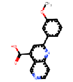 COc1cccc(-c2cc(C(=O)O)c3cnccc3n2)c1